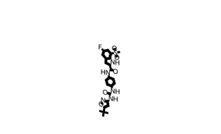 CC(C)(C)c1cc(NC(=O)Nc2ccc(NC(=O)c3cc4cc(F)cc(S(C)(=O)=O)c4[nH]3)cc2)no1